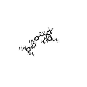 N[C@@H]1C[C@H](N)CN(c2ncnc(Nc3ccc(C(=O)CC(=O)Nc4cc(F)c(F)cc4N4C[C@H](N)C[C@H](N)C4)cc3)n2)C1